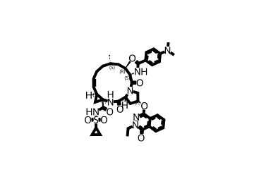 CCn1nc(O[C@@H]2C[C@H]3C(=O)N[C@]4(C(=O)NS(=O)(=O)C5CC5)C[C@H]4C=CCC[C@H](C)C[C@@H](C)[C@H](NC(=O)c4ccc(N(C)C)cc4)C(=O)N3C2)c2ccccc2c1=O